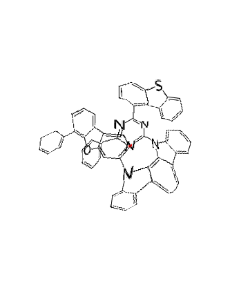 C1=CCCC(c2cccc3c2oc2cc(-n4c5ccccc5c5ccc6c7ccccc7n(-c7nc(-c8ccccc8)nc(-c8cccc9sc%10ccccc%10c89)n7)c6c54)ccc23)=C1